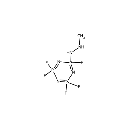 CNNP1(F)=NP(F)(F)=NP(F)(F)=N1